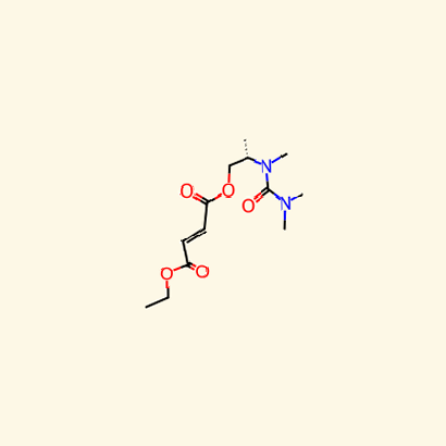 CCOC(=O)/C=C/C(=O)OC[C@H](C)N(C)C(=O)N(C)C